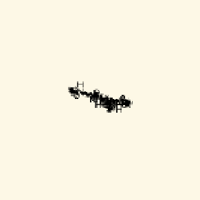 CC(C)(C)OC(=O)NCCCC[C@H](N)C(=O)NCC(O)CN(CC(O)CNC(=O)OC(C)(C)C)C(=O)OC(C)(C)C